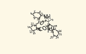 CC(C(=O)Nc1ccccc1Cc1ccccc1C(=O)O)c1ccc2ccccc2c1